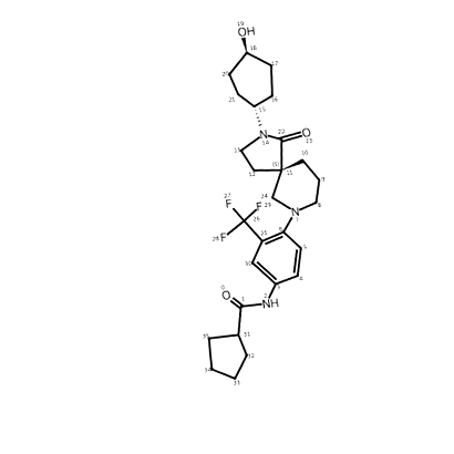 O=C(Nc1ccc(N2CCC[C@]3(CCN([C@H]4CC[C@H](O)CC4)C3=O)C2)c(C(F)(F)F)c1)C1CCCC1